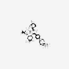 N#CC1(NC(=O)[C@@H]2C[C@@H]3C[C@@H]3C[C@H]2c2oc(-c3ccc(F)cn3)nc2-c2ccc(N3CCS(O)(O)CC3)cc2)CC1